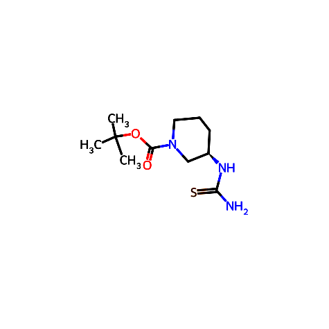 CC(C)(C)OC(=O)N1CCC[C@@H](NC(N)=S)C1